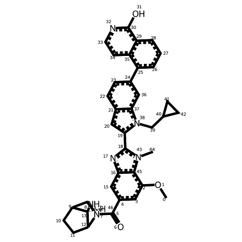 COc1cc(C(=O)N2CC3CCC2[C@@H]3N)cc2nc(-c3cc4ccc(-c5cccc6c(O)nccc56)cc4n3CC3CC3)n(C)c12